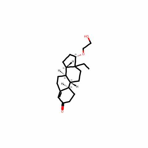 CCC12CC[C@H]3[C@@H](CCC4=CC(=O)CC[C@@H]43)[C@@H]1CC[C@@H]2OCCO